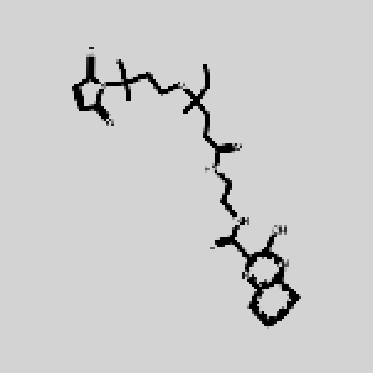 CCC(C)(CCC(=O)NCCNC(=O)c1nc2ccccc2nc1O)OCCC(C)(C)N1C(=O)C=CC1=O